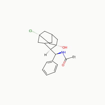 CCC(=O)N[C@@H](c1ccccc1)[C@H]1C2CC3C[C@](Cl)(C2)C[C@@]1(O)C3